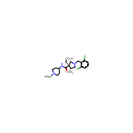 CCCCCCN1CCC(NC(=O)[C@]2(CC(=O)O)CN(Cc3c(Cl)cccc3Cl)C[C@@H]2C)CC1